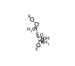 CO[C@H](C[C@H](CCCCN(C)c1cccc(-c2ccc(F)cc2)c1)C(=O)NO)c1ccc(F)cc1